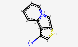 Nc1csc2cn3ccccc3c12